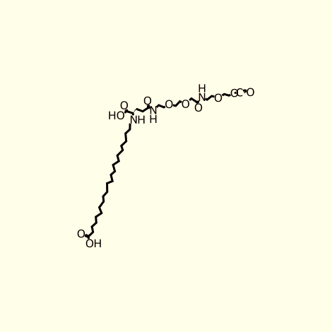 O=[C]COCCOCCNC(=O)COCCOCCNC(=O)CC[C@H](NCCCCCCCCCCCCCCCCCCCCCCC(=O)O)C(=O)O